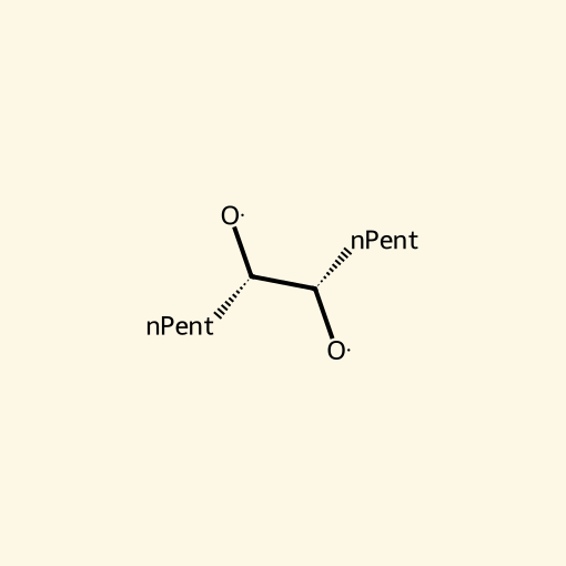 CCCCC[C@H]([O])[C@@H]([O])CCCCC